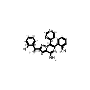 N#Cc1ccccc1-c1nc(N)c2cc(C(O)c3ccccc3F)nn2c1-c1ccncn1